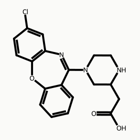 O=C(O)CC1CN(C2=Nc3cc(Cl)ccc3Oc3ccccc32)CCN1